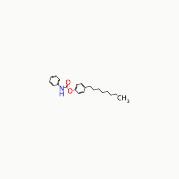 CCCCCCCCc1ccc(OC(=O)Nc2ccccc2)cc1